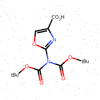 CC(C)(C)OC(=O)N(C(=O)OC(C)(C)C)c1nc(C(=O)O)co1